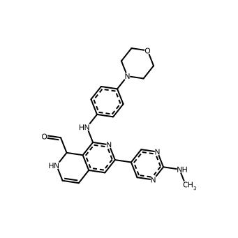 CNc1ncc(-c2cc3c(c(Nc4ccc(N5CCOCC5)cc4)n2)C(C=O)NC=C3)cn1